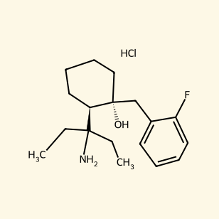 CCC(N)(CC)[C@H]1CCCC[C@@]1(O)Cc1ccccc1F.Cl